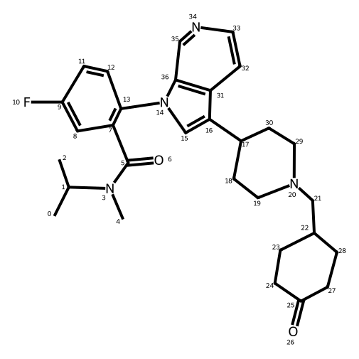 CC(C)N(C)C(=O)c1cc(F)ccc1-n1cc(C2CCN(CC3CCC(=O)CC3)CC2)c2ccncc21